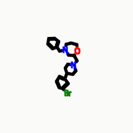 Brc1cccc(C2CCN(CC3CN(Cc4ccccc4)CCCO3)CC2)c1